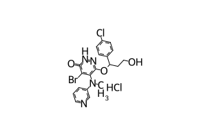 CN(c1cccnc1)c1c(OC(CCO)c2ccc(Cl)cc2)n[nH]c(=O)c1Br.Cl